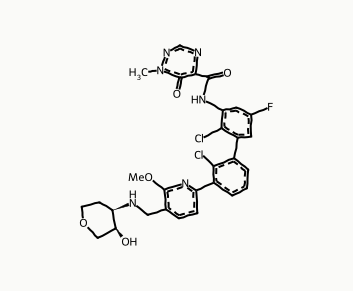 COc1nc(-c2cccc(-c3cc(F)cc(NC(=O)c4ncnn(C)c4=O)c3Cl)c2Cl)ccc1CN[C@@H]1CCOC[C@@H]1O